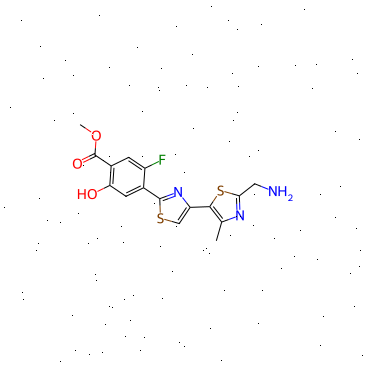 COC(=O)c1cc(F)c(-c2nc(-c3sc(CN)nc3C)cs2)cc1O